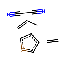 C=C.C=CC.N#CC#N.c1ccsc1